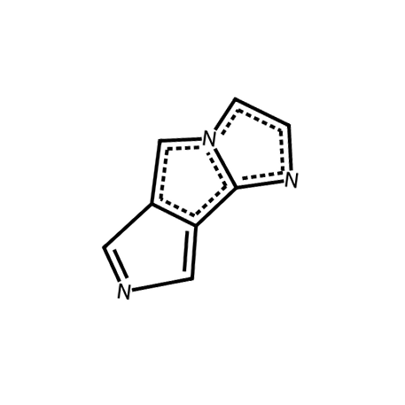 C1=NC=c2c1cn1ccnc21